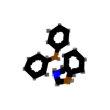 c1ccc(Sc2ccccc2)cc1.c1ccc2scnc2c1